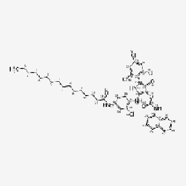 CCCCCCCCCCCCCCCC(=O)Nc1ccc(Nc2[nH]n(-c3c(Cl)cc(Cl)cc3Cl)c(=O)c2OC(=O)Nc2cccc3ccccc23)c(Cl)c1